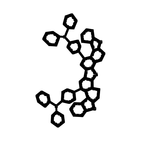 c1ccc(N(c2ccccc2)c2ccc(-c3cc4c5cc(-c6ccc(N(c7ccccc7)c7ccccc7)cc6)c6c(ccc7oc8ccccc8c76)c5sc4c4ccc5oc6ccccc6c5c34)cc2)cc1